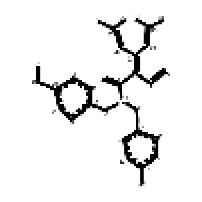 C=CC(C(=C)N(Cc1ccc(C)cc1)Cc1ccc(CC)cc1)=C(C=C(C)C)C=C(C)C